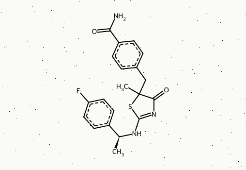 C[C@H](NC1=NC(=O)C(C)(Cc2ccc(C(N)=O)cc2)S1)c1ccc(F)cc1